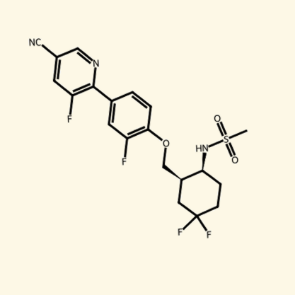 CS(=O)(=O)N[C@H]1CCC(F)(F)C[C@H]1COc1ccc(-c2ncc(C#N)cc2F)cc1F